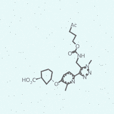 CC(=O)CCCOC(=O)NCc1c(-c2ccc(O[C@H]3CCC[C@H](C(=O)O)C3)c(C)n2)nnn1C